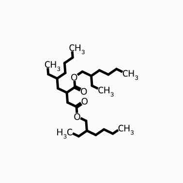 CCCCC(CC)COC(=O)CC(CC(CC)CCCC)C(=O)OCC(CC)CCCC